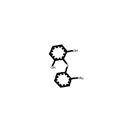 CCCCc1ccccc1Sc1c(O)cccc1O